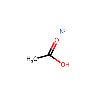 CC(=O)O.[N]